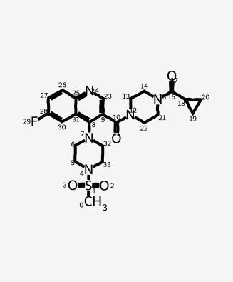 CS(=O)(=O)N1CCN(c2c(C(=O)N3CCN(C(=O)C4CC4)CC3)cnc3ccc(F)cc23)CC1